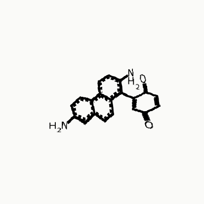 Nc1ccc2c(ccc3c(C4=CC(=O)C=CC4=O)c(N)ccc32)c1